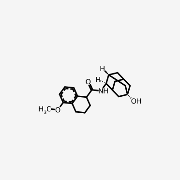 COc1cccc2c1CCCC2C(=O)N[C@@H]1C2CC3C[C@@H]1C[C@@](O)(C3)C2